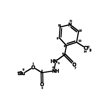 CC(C)(C)OC(=O)NNC(=O)c1ccncc1C(F)(F)F